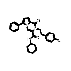 O=C(NC1CCCCC1)c1cn2c(-c3ccccc3)ccc2c(=O)n1CCc1ccc(Cl)cc1